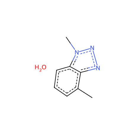 Cc1cccc2c1nnn2C.O